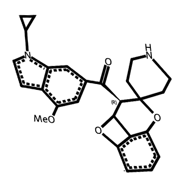 COc1cc(C(=O)[C@@H]2C3Oc4[c]ccc(c43)OC23CCNCC3)cc2c1ccn2C1CC1